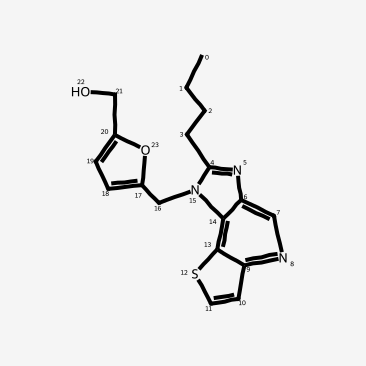 CCCCc1nc2cnc3ccsc3c2n1Cc1ccc(CO)o1